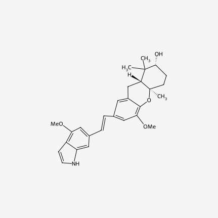 COc1cc(/C=C/c2cc(OC)c3cc[nH]c3c2)cc2c1O[C@]1(C)CC[C@@H](O)C(C)(C)[C@H]1C2